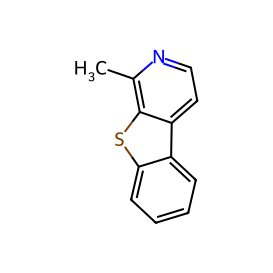 Cc1nccc2c1sc1ccccc12